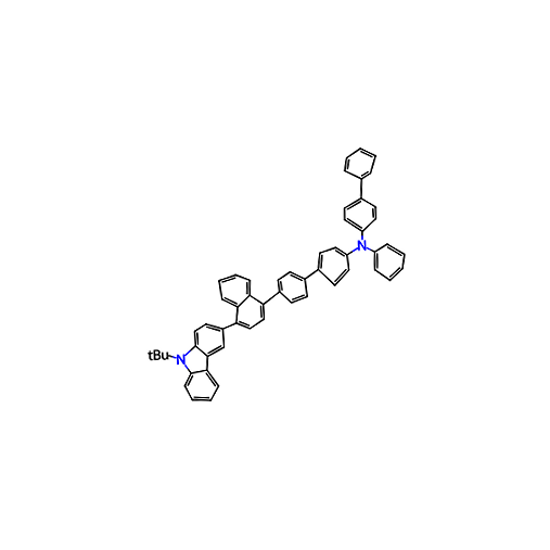 CC(C)(C)n1c2ccccc2c2cc(-c3ccc(-c4ccc(-c5ccc(N(c6ccccc6)c6ccc(-c7ccccc7)cc6)cc5)cc4)c4ccccc34)ccc21